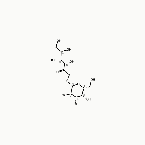 O=C(CO[C@H]1O[C@H](CO)[C@H](O)[C@H](O)[C@H]1O)[C@@H](O)[C@H](O)[C@H](O)CO